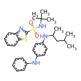 CC(C)(C)NS(=O)(=O)c1nc2ccccc2s1.CC(C)CC(C)Nc1ccc(Nc2ccccc2)cc1